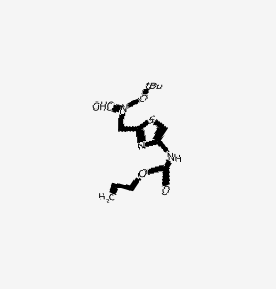 C=CCOC(=O)Nc1csc(CN(C=O)OC(C)(C)C)n1